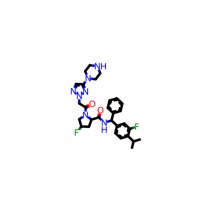 CC(C)c1ccc(C(NC(=O)C2CC(F)CN2C(=O)Cn2ncc(N3CCNCC3)n2)c2ccccc2)cc1F